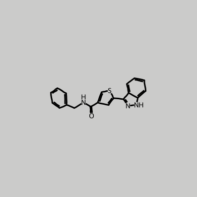 O=C(NCc1ccccc1)c1csc(-c2n[nH]c3ccccc23)c1